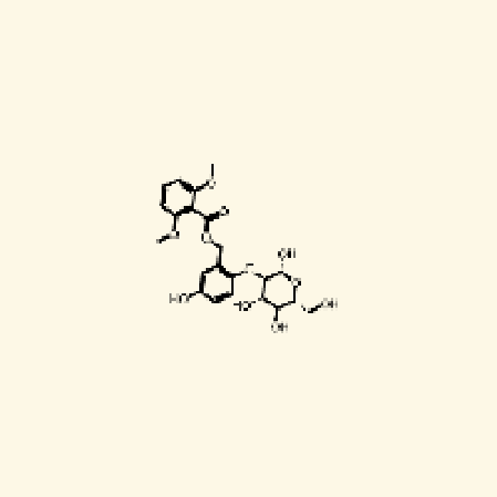 COc1cccc(OC)c1C(=O)OCc1cc(O)ccc1O[C@@H]1[C@@H](O)[C@H](O)[C@@H](CO)O[C@H]1O